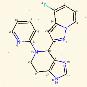 Fc1cccn2nc(C3c4nc[nH]c4CCN3c3ccccn3)cc12